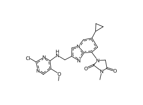 COc1cnc(Cl)nc1NCc1cn2cc(C3CC3)cc(N3CC(=O)N(C)C3=O)c2n1